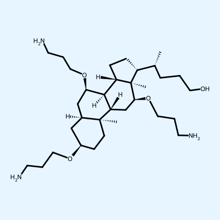 C[C@H](CCCO)[C@H]1CC[C@H]2[C@@H]3[C@H](OCCCN)C[C@@H]4C[C@H](OCCCN)CC[C@]4(C)[C@H]3C[C@H](OCCCN)[C@]12C